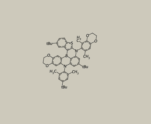 Cc1cc(C(C)(C)C)cc(C)c1N1c2cc3c(cc2B2c4c1cc(C(C)(C)C)cc4N(c1c(C)cc4c(c1C)OCCO4)c1sc4ccc(C(C)(C)C)cc4c12)OCCO3